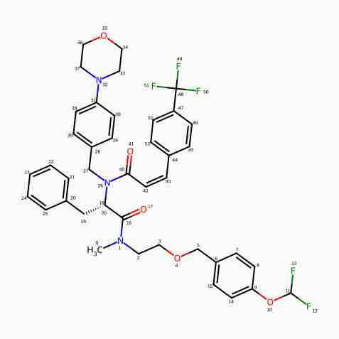 CN(CCOCc1ccc(OC(F)F)cc1)C(=O)[C@H](Cc1ccccc1)N(Cc1ccc(N2CCOCC2)cc1)C(=O)C=Cc1ccc(C(F)(F)F)cc1